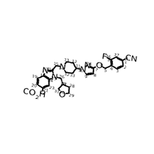 N#Cc1ccc(COc2ccn(C3CCN(Cc4nc5ccc(C(=O)O)cc5n4C[C@H]4CCOC4)CC3)n2)c(F)c1